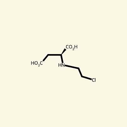 O=C(O)C[C@H](NCCCl)C(=O)O